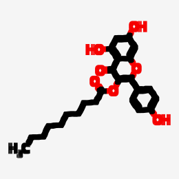 CCCCCCCCCC(=O)Oc1c(-c2ccc(O)cc2)oc2cc(O)cc(O)c2c1=O